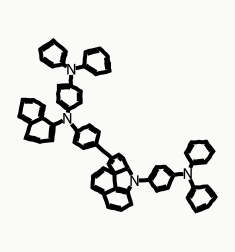 C1=CC23C=C(c4ccc(N(c5ccc(N(c6ccccc6)c6ccccc6)cc5)c5cccc6ccccc56)cc4)C=CC2N(c2ccc(N(c4ccccc4)c4ccccc4)cc2)C2=C3C(=C1)C=CC2